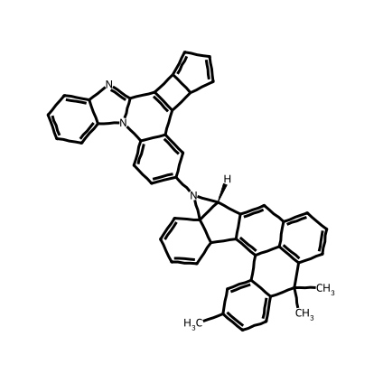 Cc1ccc2c(c1)-c1c3c(cc4cccc(c14)C2(C)C)[C@H]1N(c2ccc4c(c2)c2c(c5nc6ccccc6n54)C4=CC=CC42)C12C=CC=CC32